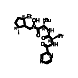 CC[C@H]1CC[C@@H](C)C1CN(O)C(=O)[C@@H](NC(=O)[C@H](NC(=O)c1cnccn1)C(C)C)C(C)(C)C